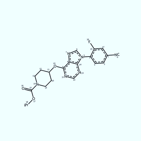 [C-]#[N+]c1ccc(-n2cnc3c(OC4CCN(C(=O)OC(C)C)CC4)ncnc32)c(F)c1